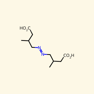 CC(CN=NCC(C)CC(=O)O)CC(=O)O